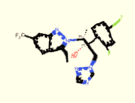 Cc1c2ccc(C(F)(F)F)cc2nn1[C@H](C)[C@](O)(Cn1cncn1)c1ccc(F)cc1F